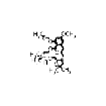 COCOc1cc(OC)cc(CCC[C@@H]2CC(C)(C)OC2C=O)c1C(=O)OCC[Si](C)(C)C